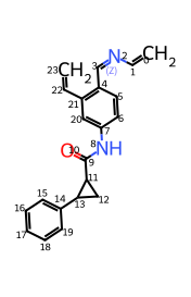 C=C/N=C\c1ccc(NC(=O)C2CC2c2ccccc2)cc1C=C